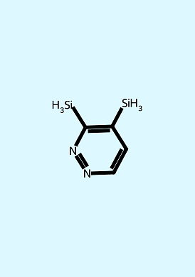 [SiH3]c1ccnnc1[SiH3]